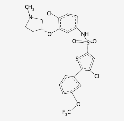 CN1CC[C@@H](Oc2cc(NS(=O)(=O)c3cc(Cl)c(-c4cccc(OC(F)(F)F)c4)s3)ccc2Cl)C1